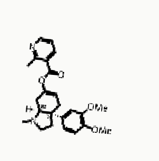 COc1ccc([C@@]23CC=C(OC(=O)c4cccnc4C)C[C@@H]2N(C)CC3)cc1OC